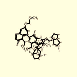 CCc1c(F)ccc2cc(OCOC)cc(-c3nc(CN)c4c(N5C[C@H]6CC[C@@H](C5)N6C(=O)OC(C)(C)C)nc(OC[C@@]56CCCN5C[C@H](F)C6)nc4c3F)c12